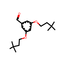 CC(C)(C)CCOc1cc(C=O)cc(OCCC(C)(C)C)c1